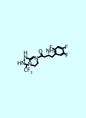 N[C@@H](CC(=O)N1C=C2NNC(C(F)(F)F)N2CC1)Cc1cc(F)c(F)cc1F